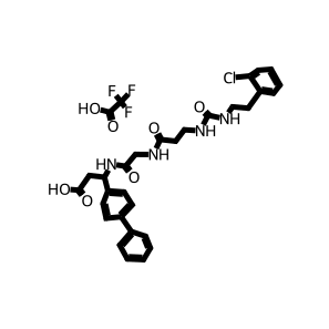 O=C(O)C(F)(F)F.O=C(O)CC(NC(=O)CNC(=O)CCNC(=O)NCCc1ccccc1Cl)c1ccc(-c2ccccc2)cc1